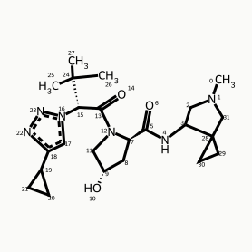 CN1CC(NC(=O)[C@H]2C[C@H](O)CN2C(=O)[C@H](n2cc(C3CC3)nn2)C(C)(C)C)C2(CC2)C1